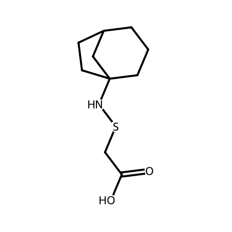 O=C(O)CSNC12CCCC(CC1)C2